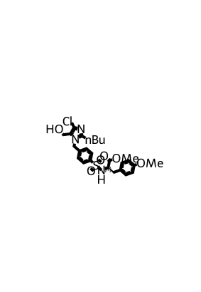 CCCCc1nc(Cl)c(CO)n1Cc1ccc(S(=O)(=O)N[C@H](Cc2ccc(OC)cc2)C(=O)OC)cc1